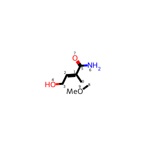 C/C(=C\CO)C(N)=O.COC